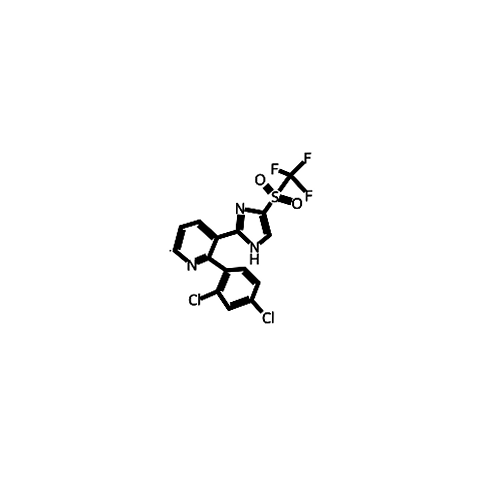 O=S(=O)(c1c[nH]c(-c2cc[c]nc2-c2ccc(Cl)cc2Cl)n1)C(F)(F)F